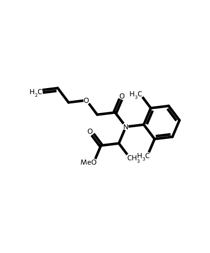 C=CCOCC(=O)N(c1c(C)cccc1C)C(C)C(=O)OC